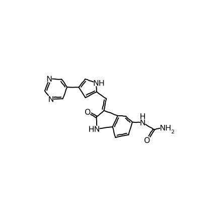 NC(=O)Nc1ccc2c(c1)C(=Cc1cc(-c3cncnc3)c[nH]1)C(=O)N2